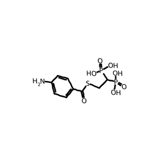 Nc1ccc(C(=O)SCC(P(=O)(O)O)P(=O)(O)O)cc1